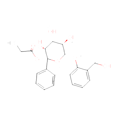 CCC(=O)O[C@@]1(c2ccccc2)O[C@@H](Oc2ccccc2CO)[C@H](O)[C@@H](O)[C@@H]1O